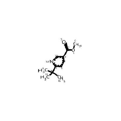 COC(=O)c1ccc(C(C)(C)C)nc1